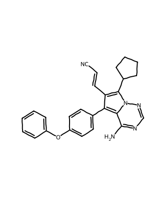 N#CC=Cc1c(-c2ccc(Oc3ccccc3)cc2)c2c(N)ncnn2c1C1CCCC1